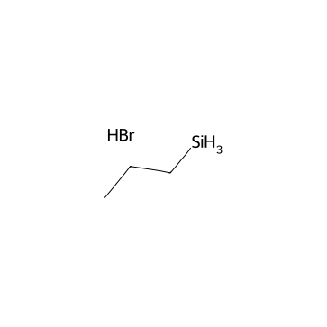 Br.CCC[SiH3]